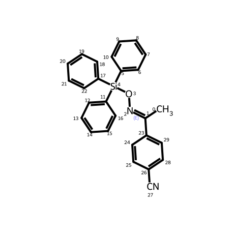 C/C(=N\O[Si](c1ccccc1)(c1ccccc1)c1ccccc1)c1ccc(C#N)cc1